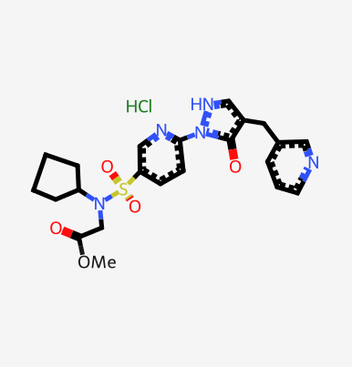 COC(=O)CN(C1CCCC1)S(=O)(=O)c1ccc(-n2[nH]cc(Cc3cccnc3)c2=O)nc1.Cl